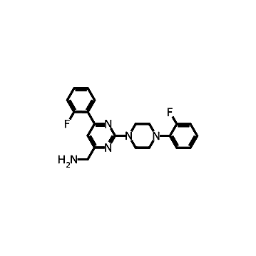 NCc1cc(-c2ccccc2F)nc(N2CCN(c3ccccc3F)CC2)n1